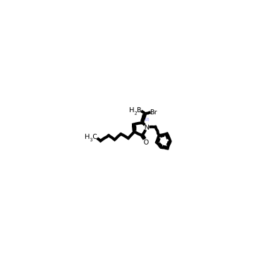 B/C(Br)=C1\C=C(CCCCCC)C(=O)N1Cc1ccccc1